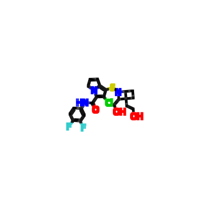 O=C(Nc1ccc(F)c(F)c1)c1c(Cl)c(SN2C(CO)C3(CCO)CCC23)c2n1CC=C2